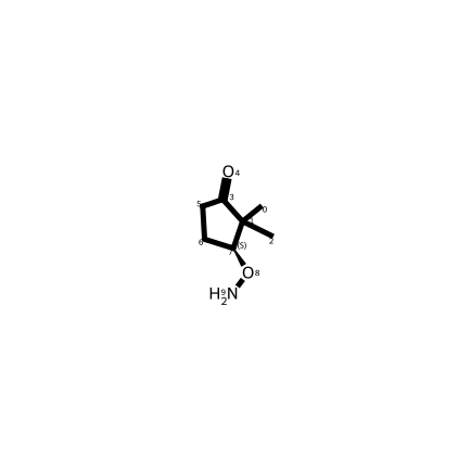 CC1(C)C(=O)CC[C@@H]1ON